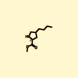 CCCCC1CN[C@H](C(=O)OC)C1